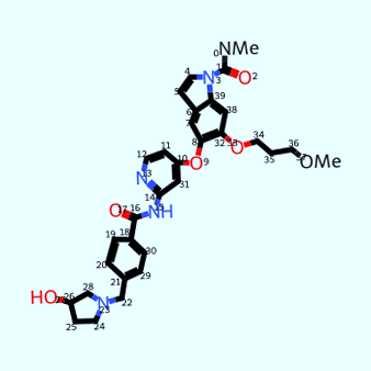 CNC(=O)n1ccc2cc(Oc3ccnc(NC(=O)c4ccc(CN5CCC(O)C5)cc4)c3)c(OCCCOC)cc21